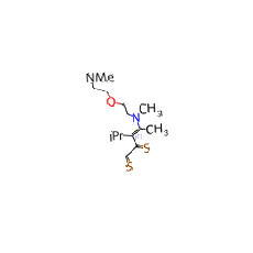 CNCCOCCN(C)/C(C)=C(/C(=S)C=S)C(C)C